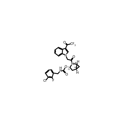 O=C(NCc1cccc(Cl)c1F)O[C@H]1C[C@H]2C[C@H]2N1C(=O)Cn1cc(C(=O)C(F)(F)F)c2ccccc21